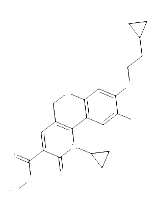 CC(C)OC(=O)c1cc2c(n(C3CC3)c1=O)-c1cc(Cl)c(OCCC3CC3)cc1SC2